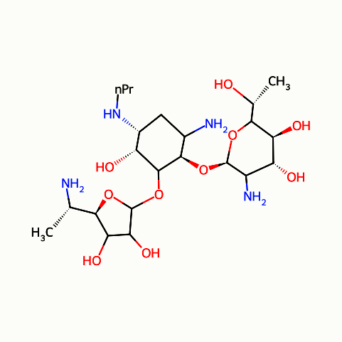 CCCN[C@@H]1CC(N)[C@@H](O[C@H]2OC([C@@H](C)O)[C@@H](O)[C@H](O)C2N)C(OC2O[C@H]([C@H](C)N)C(O)C2O)[C@@H]1O